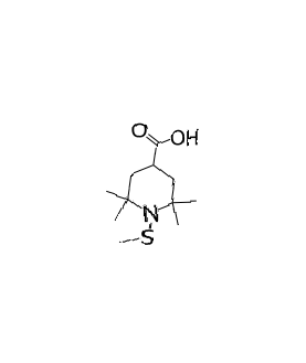 CSN1C(C)(C)CC(C(=O)O)CC1(C)C